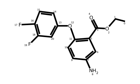 CCOC(=O)c1cc(N)ccc1Oc1ccc(F)c(F)c1